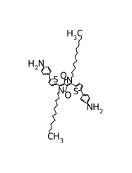 CCCCCCCCCCCCN1C(=O)C2=C(c3ccc(-c4ccc(N)cc4)s3)N(CCCCCCCCCCCC)C(=O)C2=C1c1ccc(-c2ccc(N)cc2)s1